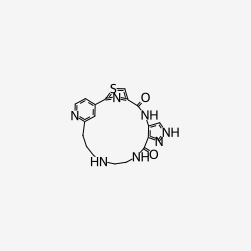 O=C1Nc2c[nH]nc2C(=O)NCCNCCCc2cc(ccn2)-c2nc1cs2